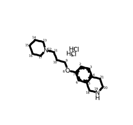 Cl.Cl.c1cc2c(cc1OCCCN1CCCCC1)CNCC2